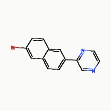 Brc1ccc2cc(-c3cnccn3)ccc2c1